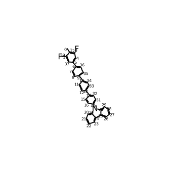 Cc1c(F)cc(-c2ccc(-c3ccc(-c4ccc(-n5c6ccccc6c6ccccc65)cc4)cc3)cc2)cc1F